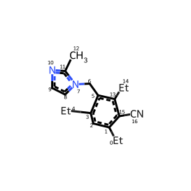 CCc1cc(CC)c(Cn2ccnc2C)c(CC)c1C#N